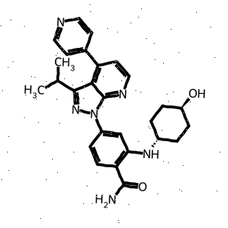 CC(C)c1nn(-c2ccc(C(N)=O)c(N[C@H]3CC[C@H](O)CC3)c2)c2nccc(-c3ccncc3)c12